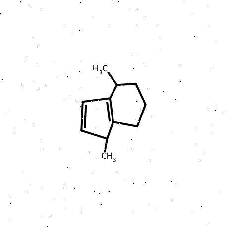 CC1C=CC2=C1CCCC2C